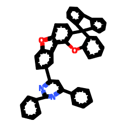 c1ccc(-c2cc(-c3ccc4oc5ccc6c(c5c4c3)Oc3ccccc3C63c4ccccc4-c4ccccc43)nc(-c3ccccc3)n2)cc1